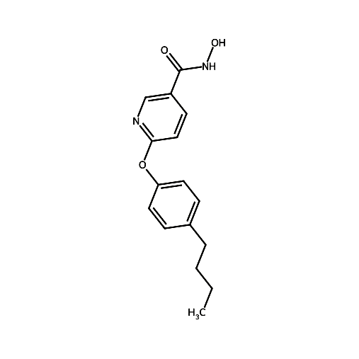 CCCCc1ccc(Oc2ccc(C(=O)NO)cn2)cc1